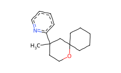 CC1(c2ccccn2)CCOC2(CCCCC2)C1